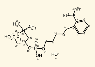 CCCC(CC)c1ccccc1CCCCCOP(=O)(O)O[C@H](CC(=O)O)C[N+](C)(C)C.[OH-]